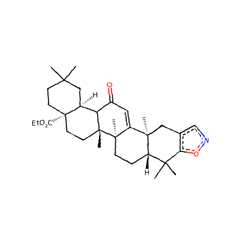 CCOC(=O)[C@]12CCC(C)(C)C[C@H]1C1C(=O)C=C3[C@@]4(C)Cc5cnoc5C(C)(C)[C@@H]4CC[C@@]3(C)[C@]1(C)CC2